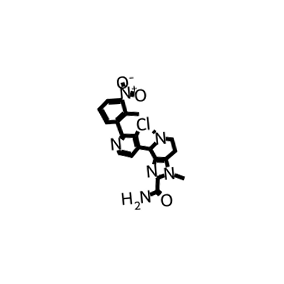 Cc1c(-c2nccc(C3c4nc(C(N)=O)n(C)c4CCN3C)c2Cl)cccc1[N+](=O)[O-]